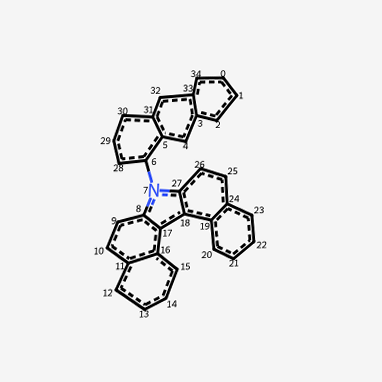 c1ccc2cc3c(-n4c5ccc6ccccc6c5c5c6ccccc6ccc54)cccc3cc2c1